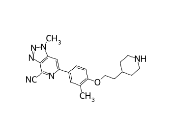 Cc1cc(-c2cc3c(nnn3C)c(C#N)n2)ccc1OCCC1CCNCC1